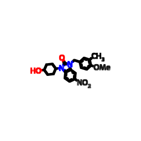 COc1ccc(Cn2c(=O)n(C3CCC(O)CC3)c3ccc([N+](=O)[O-])cc32)cc1C